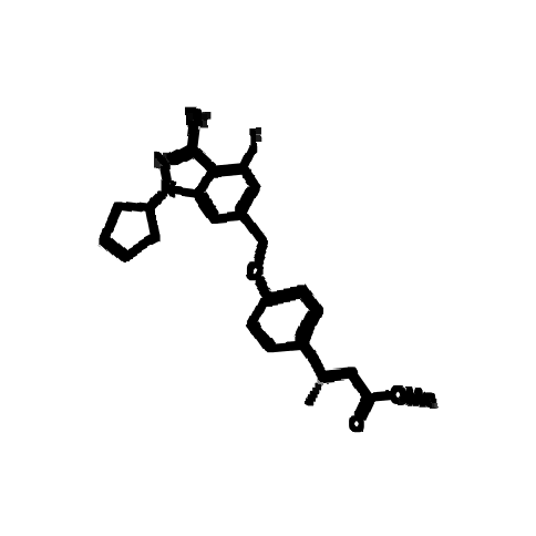 COC(=O)C[C@H](C)c1ccc(OCc2cc(F)c3c(Br)nn(C4CCCC4)c3c2)cc1